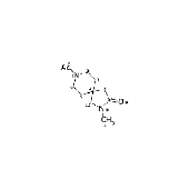 CC(=O)N1CCC2(CC1)CC(=O)N(C)C2